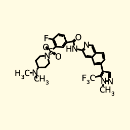 CN(C)C1CCN(S(=O)(=O)c2cc(C(=O)Nc3cc4cc(-c5cnn(C)c5C(F)(F)F)ccc4cn3)ccc2F)CC1